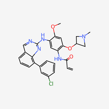 C=CC(=O)Nc1cc(Nc2ncc3cccc(-c4cccc(Cl)c4)c3n2)c(OC)cc1OC1CN(C)C1